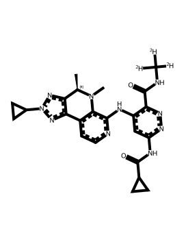 [2H]C([2H])([2H])NC(=O)c1nnc(NC(=O)C2CC2)cc1Nc1nccc2c1N(C)[C@H](C)c1nn(C3CC3)nc1-2